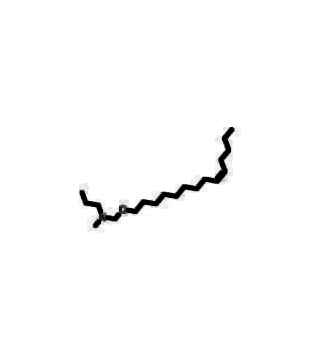 CCCC/C=C\CCCCCCCCOCN(C)CCC